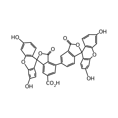 O=C(O)c1cc(-c2ccc3c(c2)C(=O)OC32c3ccc(O)cc3Oc3cc(O)ccc32)c2c(c1)C1(OC2=O)c2ccc(O)cc2Oc2cc(O)ccc21